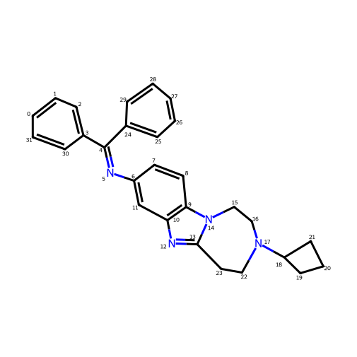 c1ccc(C(=Nc2ccc3c(c2)nc2n3CCN(C3CCC3)CC2)c2ccccc2)cc1